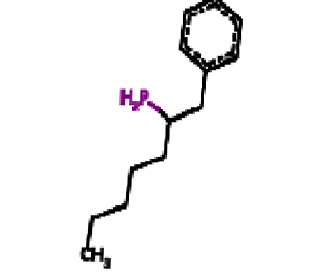 CCCCCC(P)Cc1ccccc1